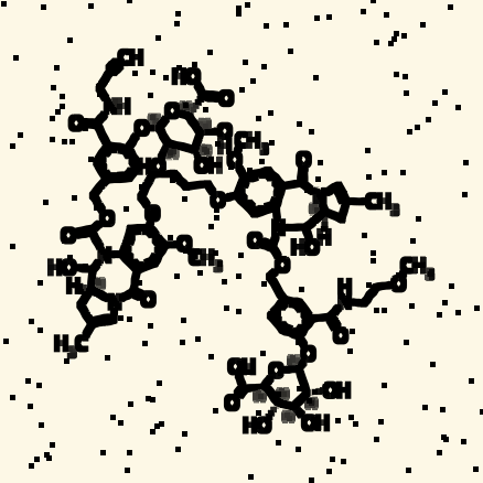 C#CCNC(=O)c1cc(COC(=O)N2c3cc(OCCCCCOc4cc5c(cc4OC)C(=O)N4C=C(C)C[C@H]4C(O)N5C(=O)OCc4ccc(O[C@@H]5O[C@H](C(=O)O)[C@@H](O)[C@H](O)[C@H]5O)c(C(=O)NCCOC)c4)c(OC)cc3C(=O)N3C=C(C)C[C@H]3C2O)ccc1O[C@@H]1O[C@H](C(=O)O)[C@@H](O)[C@H](O)[C@H]1O